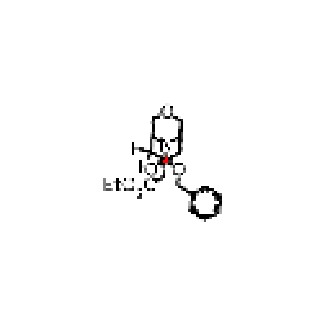 CCOC(=O)C[C@@H]1CC2COCC(N2C(=O)OCc2ccccc2)C1(F)F